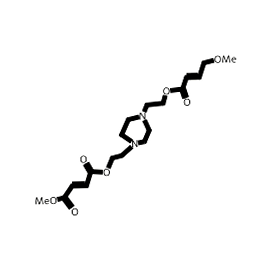 COC/C=C/C(=O)OCCN1CCN(CCOC(=O)/C=C/C(=O)OC)CC1